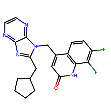 O=c1cc(Cn2c(CC3CCCC3)nc3nccnc32)c2ccc(F)c(F)c2[nH]1